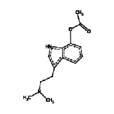 CC(=O)Oc1cccc2c(CCN(C)C)c[nH]c12